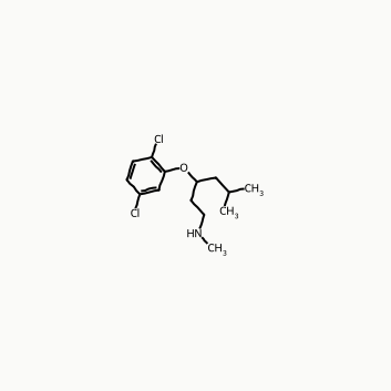 CNCCC(CC(C)C)Oc1cc(Cl)ccc1Cl